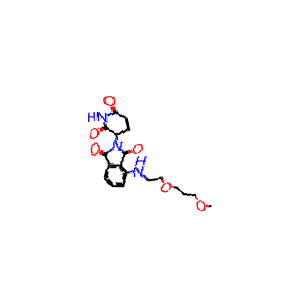 COCCCOCCNc1cccc2c1C(=O)N(C1CCC(=O)NC1=O)C2=O